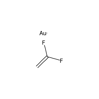 C=C(F)F.[Au]